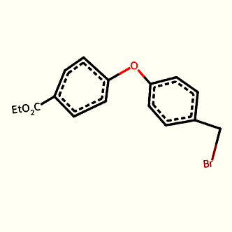 CCOC(=O)c1ccc(Oc2ccc(CBr)cc2)cc1